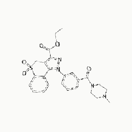 CCOC(=O)c1nn(-c2cccc(C(=O)N3CCN(C)CC3)c2)c2c1CS(=O)(=O)c1ccccc1-2